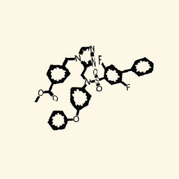 COC(=O)c1ccc(Cn2cnnc2CN(c2ccc(Oc3ccccc3)cc2)S(=O)(=O)c2cc(F)c(-c3ccccc3)cc2F)cc1